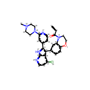 C=CC(=O)N1CCOc2ccc(-c3c(-c4ccnc(N5CCN(C)CC5)c4)[nH]c4nccc(Cl)c34)cc21